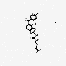 Cc1ccc(C(=O)C2=C(O)c3sc(NC(=O)NCCCN(C)C)nc3CC2)cn1